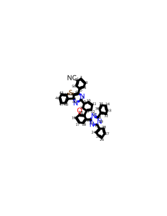 N#Cc1cccc(-c2nc(C3C=CC=C4c5c(cccc5-c5nc(-c6ccccc6)nc(-c6ccccc6)n5)OC43)nc3c2sc2ccccc23)c1